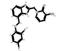 O=c1c([N+](=O)[O-])cccn1Cc1nc2cccc(COc3ccc(F)cc3F)c2s1